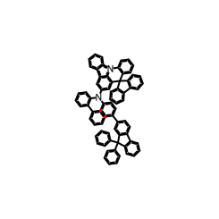 c1ccc(-c2ccccc2N(c2ccc(-c3ccc4c(c3)C(c3ccccc3)(c3ccccc3)c3ccccc3-4)cc2)c2cc3c4c(c2)c2ccccc2n4-c2ccccc2C32c3ccccc3-c3ccccc32)cc1